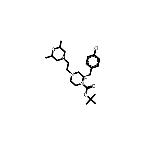 CC1CN(CCN2CCN(C(=O)OC(C)(C)C)[C@H](Cc3ccc(Cl)cc3)C2)CC(C)O1